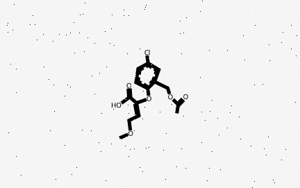 COCC=C(Oc1ccc(Cl)cc1COC(C)=O)C(=O)O